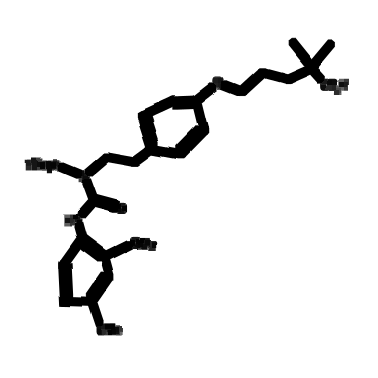 CCCCCCCN(CCc1ccc(OCCCC(C)(C)C(=O)O)cc1)C(=O)Nc1ccc(OC)cc1OC